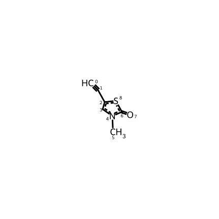 C#Cc1cn(C)c(=O)s1